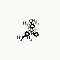 CC(C)(C)c1ccc(NC(=NC2CCCCC2)NC2CCC(C(C)(C)C)CC2)cc1